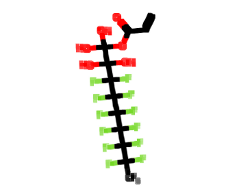 C=CC(=O)OC(O)(O)C(O)(O)C(F)(F)C(F)(F)C(F)(F)C(F)(F)C(F)(F)C(F)(F)C(F)(F)F